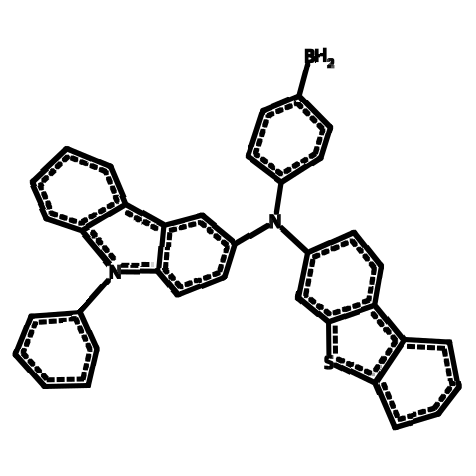 Bc1ccc(N(c2ccc3c(c2)sc2ccccc23)c2ccc3c(c2)c2ccccc2n3-c2ccccc2)cc1